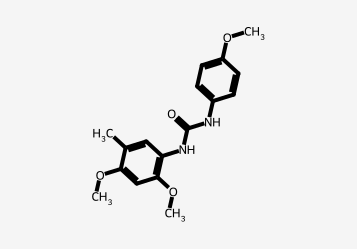 COc1ccc(NC(=O)Nc2cc(C)c(OC)cc2OC)cc1